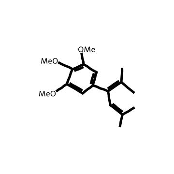 COc1cc(C(C=C(C)C)=C(C)C)cc(OC)c1OC